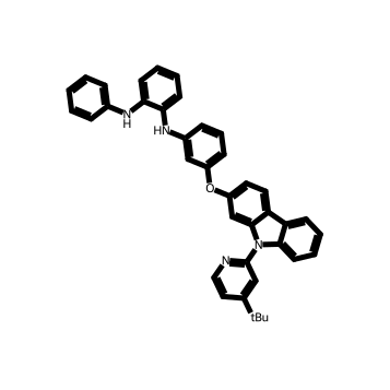 CC(C)(C)c1ccnc(-n2c3ccccc3c3ccc(Oc4cccc(Nc5ccccc5Nc5ccccc5)c4)cc32)c1